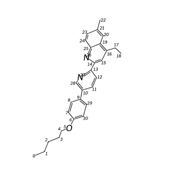 CCCCCOc1ccc(-c2ccc(-c3cc(CC)c4cc(C)ccc4n3)nc2)cc1